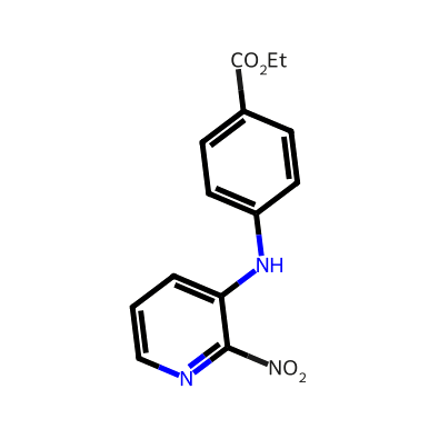 CCOC(=O)c1ccc(Nc2cccnc2[N+](=O)[O-])cc1